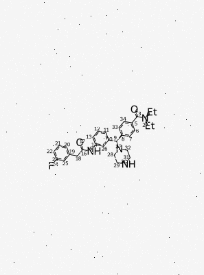 CCN(CC)C(=O)c1ccc([C@H](c2cccc(NC(=O)Cc3cccc(F)c3)c2)N2CCNCC2)cc1